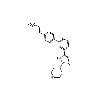 N#Cc1cc(-c2ccnc(-c3ccc(/C=C/C(=O)O)cc3)c2)[nH]c1N1CCNCC1